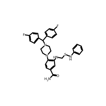 NC(=O)c1ccc(N2CCN(C(c3ccc(F)cc3)c3ccc(F)cc3)CC2)c(NCSNc2ccccc2)c1